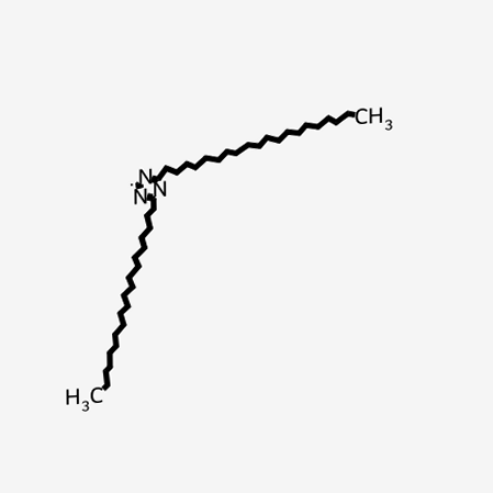 CCCCCCCCCCCCCCCCCCCCc1n[c]nc(CCCCCCCCCCCCCCCCCCCC)n1